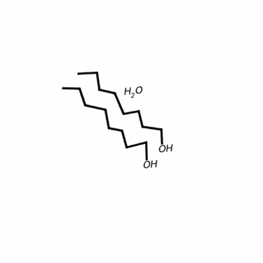 CCCCCCCCO.CCCCCCCCO.O